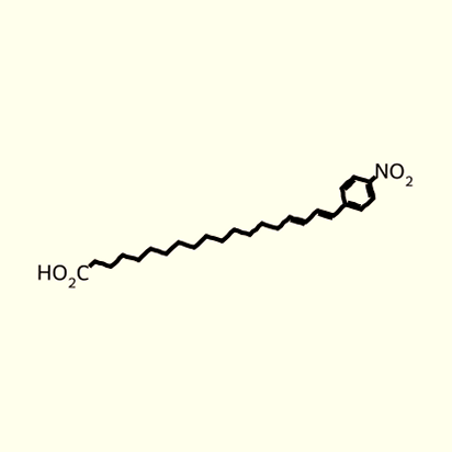 O=C(O)CCCCCCCCCCCCCCC=CC=Cc1ccc([N+](=O)[O-])cc1